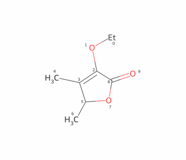 CCOC1=C(C)C(C)OC1=O